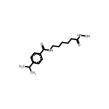 CC(C)c1ccc(C(=O)NCCCCCC(=O)NO)cc1